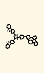 c1ccc2c(c1)-c1cccc(-c3ccc(-c4ccc(-c5nc(-c6ccc7c(c6)oc6ccccc67)nc(-c6ccc7c(c6)oc6ccccc67)n5)cc4)cc3)c1C21CCCCC1